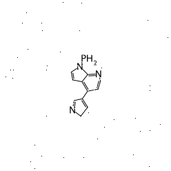 Pn1ccc2c(C3=CCN=C3)ccnc21